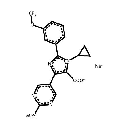 CSc1ncc(-c2nc(-c3cccc(OC(F)(F)F)c3)n(C3CC3)c2C(=O)[O-])cn1.[Na+]